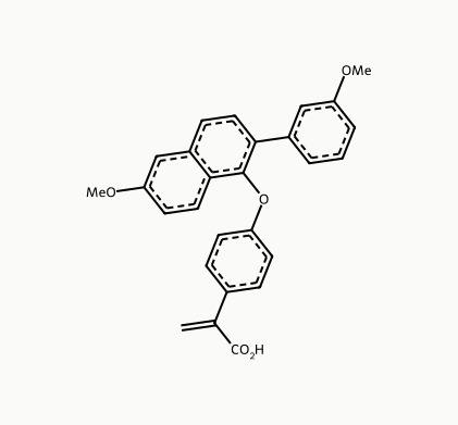 C=C(C(=O)O)c1ccc(Oc2c(-c3cccc(OC)c3)ccc3cc(OC)ccc23)cc1